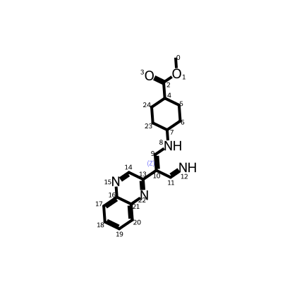 COC(=O)C1CCC(N/C=C(\C=N)c2cnc3ccccc3n2)CC1